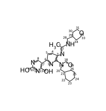 C/C(=N\c1ccc(-c2cnc(O)nc2O)nc1N(C=O)CC1CCCCC1)NCC1CCOCC1